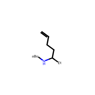 C=CCCC(CC)NCCCC